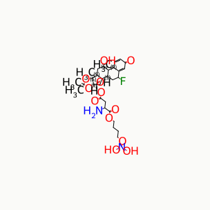 CC1(C)O[C@@H]2CC3[C@@H]4CC(F)C5=CC(=O)C=C[C@]5(C)C4[C@@H](O)C[C@]3(C)[C@]2(C(=O)COC(=O)CC(N)C(=O)OCCCCON(O)O)O1